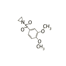 COc1ccc(S(=O)(=O)N2CC2)cc1OC